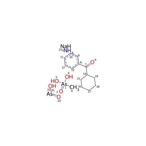 C[As](=O)(O)O.N.O=C(c1ccccc1)C1CCCCC1.O=[As]O.[NaH]